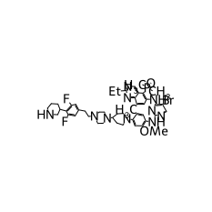 CCc1ncc2c(P(C)(C)=O)c(Nc3nc(Nc4cc(C)c(N5CCC(N6CCN(CCc7cc(F)c(C8CCCNC8)c(F)c7)CC6)CC5)cc4OC)ncc3Br)ccc2n1